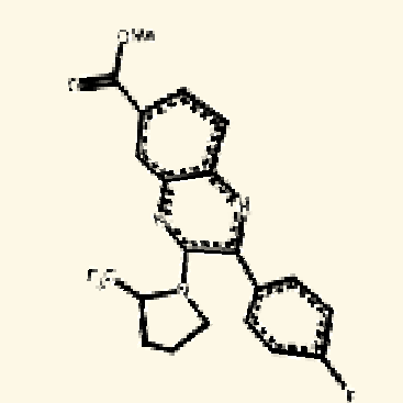 COC(=O)c1ccc2nc(-c3ccc(F)cc3)c(N3CCCC3C(F)(F)F)nc2c1